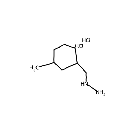 CC1CCCC(CNN)C1.Cl.Cl